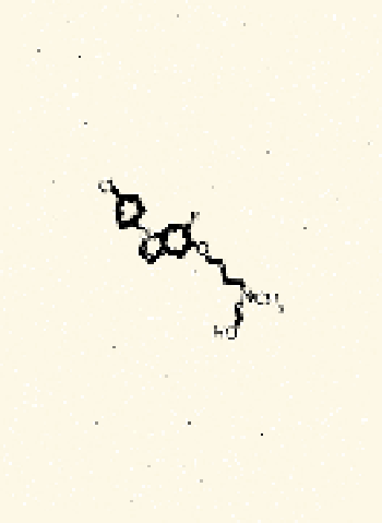 CN(CCO)CCCCOc1cc2ccn(-c3ccc(Cl)cc3)c2cc1F